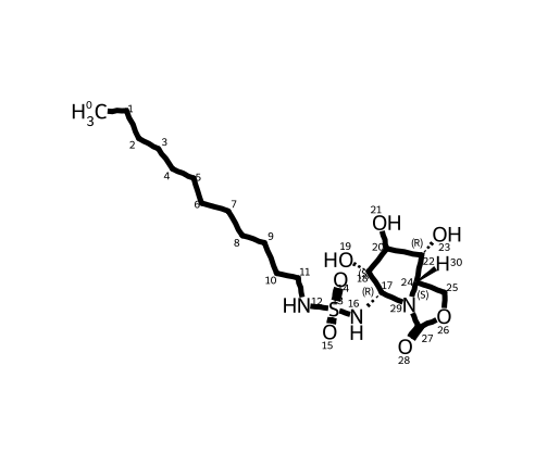 CCCCCCCCCCCCNS(=O)(=O)N[C@@H]1[C@H](O)C(O)[C@H](O)[C@@H]2COC(=O)N12